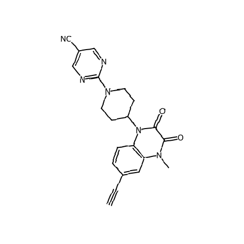 C#Cc1ccc2c(c1)n(C)c(=O)c(=O)n2C1CCN(c2ncc(C#N)cn2)CC1